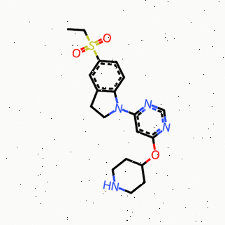 CCS(=O)(=O)c1ccc2c(c1)CCN2c1cc(OC2CCNCC2)ncn1